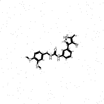 COc1ccc(CNC(=O)Nc2cccc(-c3n[nH]c(C)c3Br)c2)cc1OC